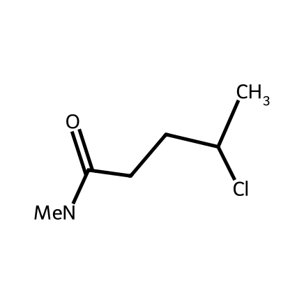 CNC(=O)CCC(C)Cl